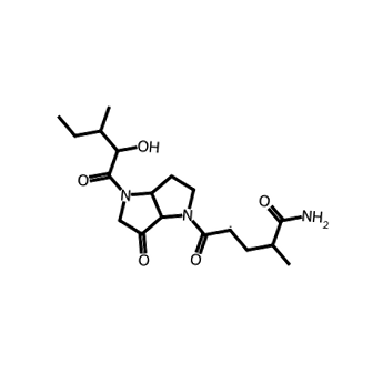 CCC(C)C(O)C(=O)N1CC(=O)C2C1CCN2C(=O)[CH]CC(C)C(N)=O